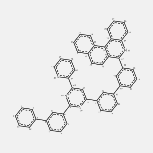 c1ccc(-c2cccc(-c3nc(-c4cccc(-c5cccc(-c6nc7ccccc7c7c6ccc6ccccc67)c5)c4)cc(-c4ccccn4)n3)c2)cc1